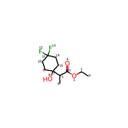 CCOC(=O)C(C)C1(O)CCC(F)(F)CC1